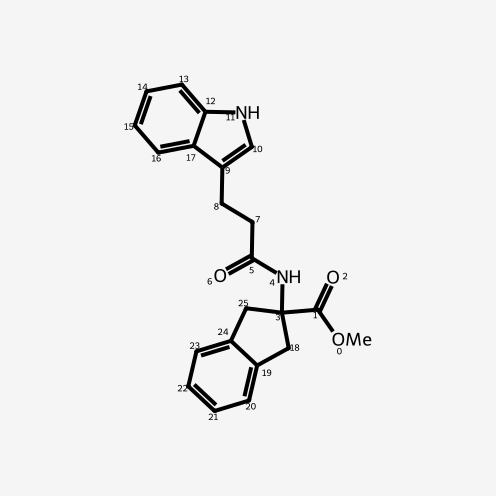 COC(=O)C1(NC(=O)CCc2c[nH]c3ccccc23)Cc2ccccc2C1